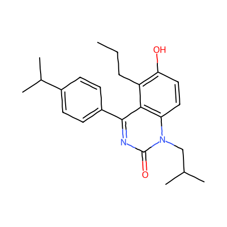 CCCc1c(O)ccc2c1c(-c1ccc(C(C)C)cc1)nc(=O)n2CC(C)C